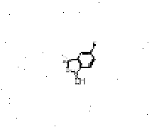 C[C@H]1[B]N(O)c2ccc(F)cc21